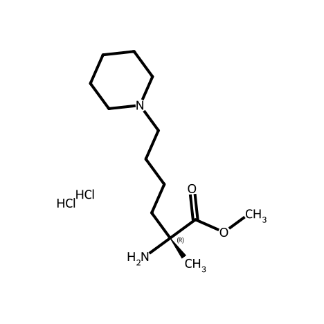 COC(=O)[C@](C)(N)CCCCN1CCCCC1.Cl.Cl